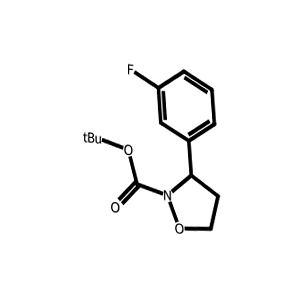 CC(C)(C)OC(=O)N1OCCC1c1cccc(F)c1